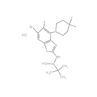 CC(C)(C)N(O)Nc1nc2c(N3CCC(F)(F)CC3)c(F)c(Br)cc2s1.Cl